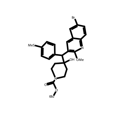 COc1nc2ccc(Br)cc2cc1C(c1ccc(SC)cc1)C1(O)CCN(C(=O)OC(C)(C)C)CC1